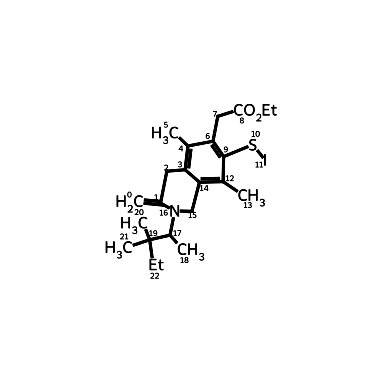 C=C1Cc2c(C)c(CC(=O)OCC)c(SI)c(C)c2CN1C(C)C(C)(C)CC